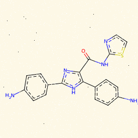 Nc1ccc(-c2nc(C(=O)Nc3nccs3)c(-c3ccc(N)cc3)[nH]2)cc1